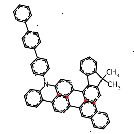 CC1(C)c2ccccc2-c2c(-c3ccc(N(c4ccc(-c5ccc(-c6ccccc6)cc5)cc4)c4ccccc4-c4ccc(-c5ccc6ccccc6c5)cc4)cc3)cccc21